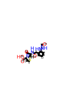 CC1(C)S[C@@H]2[C@H](NC(=O)Cc3ccccc3NNC=O)C(=O)N2[C@H]1C(=O)O